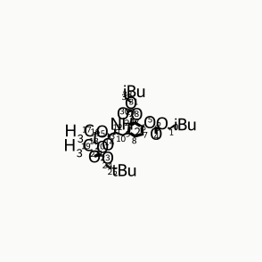 CCC(C)COC(=O)Oc1ccc(C[C@H](N)C(=O)O[C@@H](C)C(C)OC(=O)OCC(C)(C)C)cc1OC(=O)OCC(C)CC